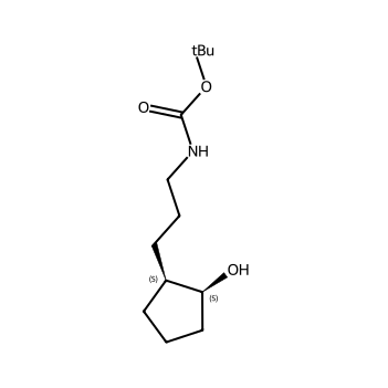 CC(C)(C)OC(=O)NCCC[C@@H]1CCC[C@@H]1O